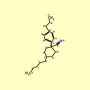 CCCCCC1CCC(C#N)(c2ccc(CCC)cc2)CC1